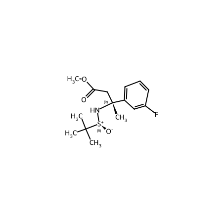 COC(=O)C[C@@](C)(N[S@@+]([O-])C(C)(C)C)c1cccc(F)c1